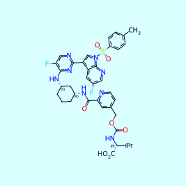 Cc1ccc(S(=O)(=O)n2cc(-c3ncc(F)c(N[C@H]4CCC[C@@H](NC(=O)c5cc(COC(=O)N[C@@H](C(=O)O)C(C)C)ccn5)C4)n3)c3cc(F)cnc32)cc1